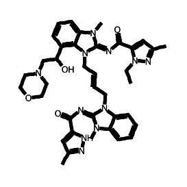 CCn1nc(C)cc1C(=O)/N=c1\n(C)c2cccc(C(O)CN3CCOCC3)c2n1C/C=C/Cn1/c(=N/C(=O)c2cc(C)n[nH]2)n(C)c2ccccc21